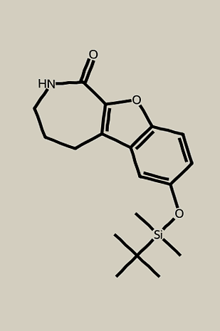 CC(C)(C)[Si](C)(C)Oc1ccc2oc3c(c2c1)CCCNC3=O